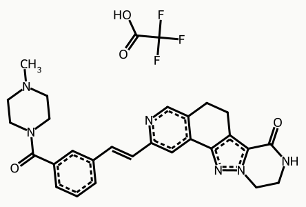 CN1CCN(C(=O)c2cccc(C=Cc3cc4c(cn3)CCc3c-4nn4c3C(=O)NCC4)c2)CC1.O=C(O)C(F)(F)F